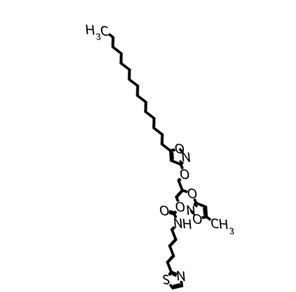 CCCCCCCCCCCCCCCc1cc(OCC(COC(=O)NCCCCCc2nccs2)Oc2cc(C)on2)no1